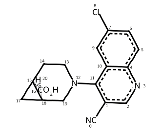 N#Cc1cnc2ccc(Cl)cc2c1N1CC[C@]2(C(=O)O)C[C@@H]2C1